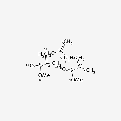 C=C(C)C(=O)O.C=C(C)C(=O)OC.C=C(C)C(=O)OC